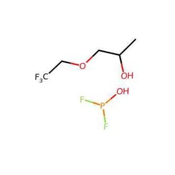 CC(O)COCC(F)(F)F.OP(F)F